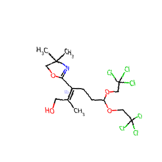 C/C(CO)=C(\CCC(OCC(Cl)(Cl)Cl)OCC(Cl)(Cl)Cl)C1=NC(C)(C)CO1